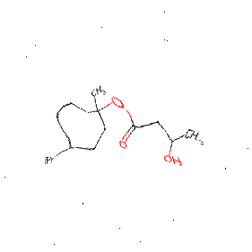 CC(O)CC(=O)OC1(C)CCC(C(C)C)CC1